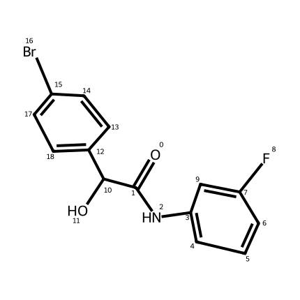 O=C(Nc1cccc(F)c1)C(O)c1ccc(Br)cc1